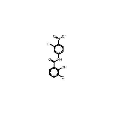 O=C(Nc1ccc([N+](=O)[O-])c(Cl)c1)c1cccc(Cl)c1O